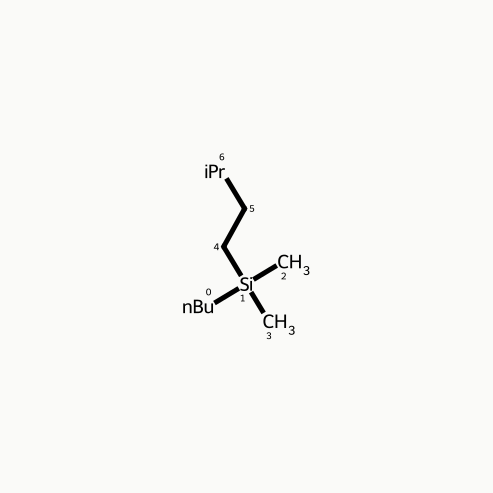 CCCC[Si](C)(C)CCC(C)C